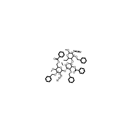 CCC1OC(OC)[C@@H](N=[N+]=[N-])[C@@H](OCc2ccccc2)C1O[C@@H]1O[C@@H](CC)[C@@H](OC2OC(COC(=O)c3ccccc3)C(OC)[C@H](OCc3ccccc3)[C@@H]2N=[N+]=[N-])C(OCc2ccccc2)C1OC(=O)c1ccccc1